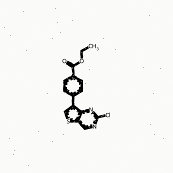 CCOC(=O)c1ccc(-c2csc3cnc(Cl)nc23)cc1